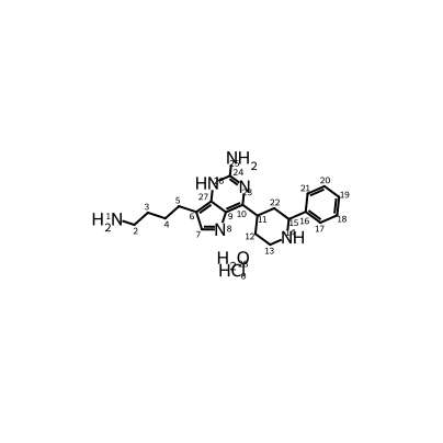 Cl.NCCCCc1cnc2c(C3CCNC(c4ccccc4)C3)nc(N)[nH]c1-2.O